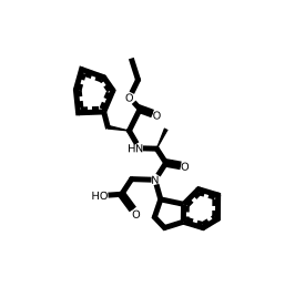 CCOC(=O)[C@H](Cc1ccccc1)N[C@@H](C)C(=O)N(CC(=O)O)C1CCc2ccccc21